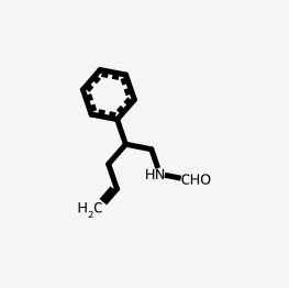 C=CCC(CNC=O)c1ccccc1